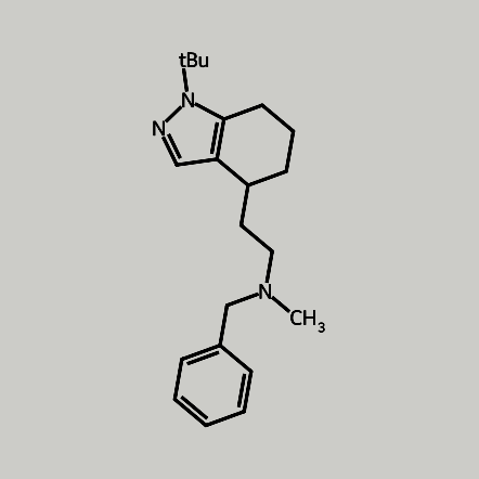 CN(CCC1CCCc2c1cnn2C(C)(C)C)Cc1ccccc1